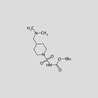 CN(C)CC1CCN(S(=O)(=O)NC(=O)OC(C)(C)C)CC1